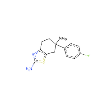 CNC1(c2ccc(F)cc2)CCc2nc(N)sc2C1